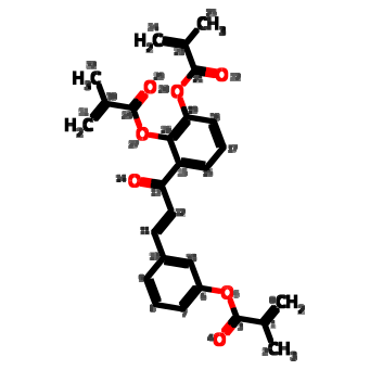 C=C(C)C(=O)Oc1cccc(/C=C/C(=O)c2cccc(OC(=O)C(=C)C)c2OC(=O)C(=C)C)c1